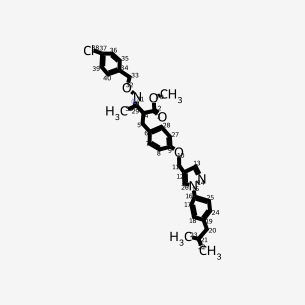 COC(=O)C(Cc1ccc(OCc2cnn(-c3ccc(CC(C)C)cc3)c2)cc1)/C(C)=N/OCc1ccc(Cl)cc1